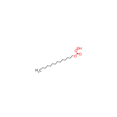 CCCCCCCCCCCCCCOC(=O)OO